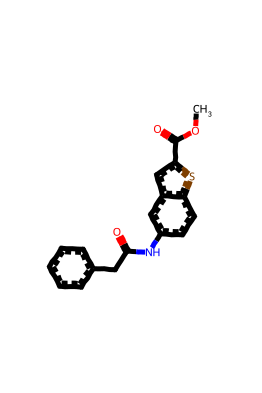 COC(=O)c1cc2cc(NC(=O)Cc3ccccc3)ccc2s1